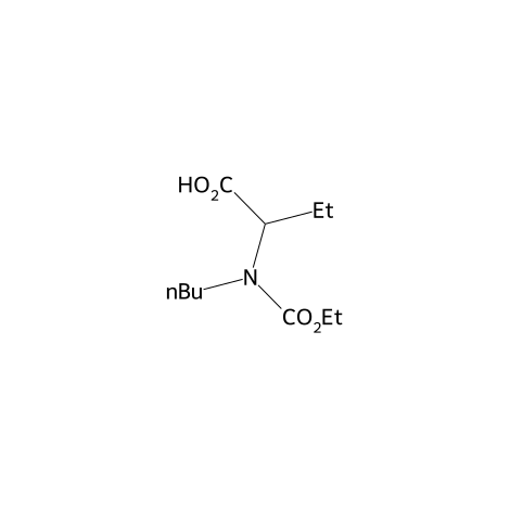 CCCCN(C(=O)OCC)C(CC)C(=O)O